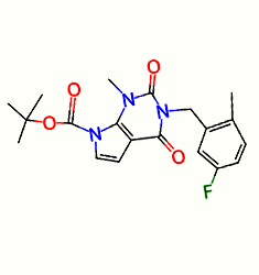 Cc1ccc(F)cc1Cn1c(=O)c2ccn(C(=O)OC(C)(C)C)c2n(C)c1=O